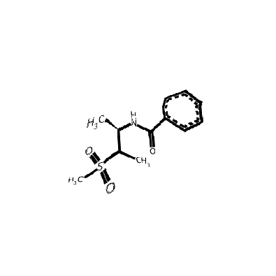 CC([C@@H](C)NC(=O)c1ccccc1)S(C)(=O)=O